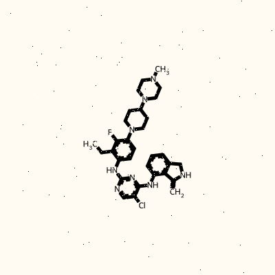 C=C1NCc2cccc(Nc3nc(Nc4ccc(N5CCC(N6CCN(C)CC6)CC5)c(F)c4CC)ncc3Cl)c21